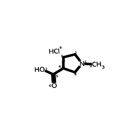 CN1CCC(C(=O)O)C1.Cl